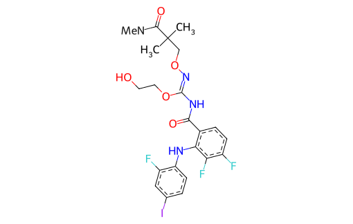 CNC(=O)C(C)(C)CON=C(NC(=O)c1ccc(F)c(F)c1Nc1ccc(I)cc1F)OCCO